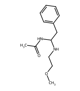 COCCNC(Cc1ccccc1)NC(C)=O